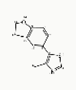 Cc1ncsc1-c1ccc2c(c1)CCO2